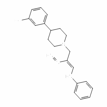 N=N/C(=C\Nc1ccccc1)CN1CCC(c2cccc(O)c2)CC1